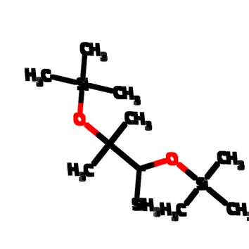 CC(C)(O[Si](C)(C)C)[C]([SiH3])O[Si](C)(C)C